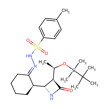 Cc1ccc(S(=O)(=O)NN=C2CCCC[C@@H]2[C@H]2NC(=O)[C@@H]2[C@@H](C)O[Si](C)(C)C(C)(C)C)cc1